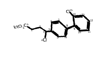 CCOC(=O)CCC(Cl)c1ccc(-c2ccccc2Cl)cc1